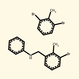 Cc1c(Br)cccc1Br.Cc1c(Br)cccc1CNc1ccccc1